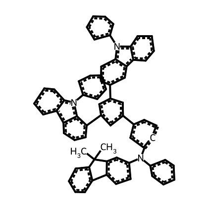 CC1(C)c2ccccc2-c2ccc(N(c3ccccc3)c3cccc(-c4cc(-c5ccc6c(c5)c5ccccc5n6-c5ccccc5)cc(-c5cccc6c7ccccc7n(-c7ccccc7)c56)c4)c3)cc21